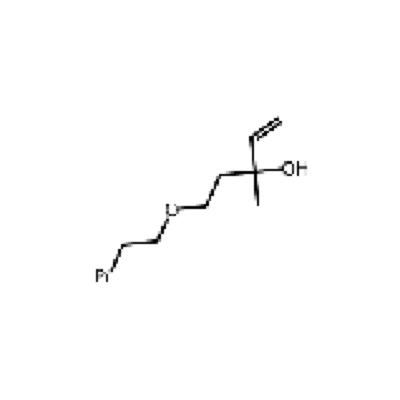 C=CC(C)(O)CCOCCC(C)C